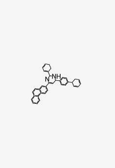 C1=CCCC(C2=NC(c3ccc4c(ccc5ccccc54)c3)=CC(c3ccc(C4C=CC=CC4)cc3)N2)=C1